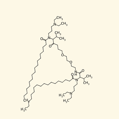 CCCCCCCCCCCCCCCCCC(=O)N(CCCN(CC)CC)C(C(=O)CCCOCCOCCNC(=O)C(C(C)C)N(CCCN(CC)CC)C(=O)CCCCCCCCCCCCCCCCC)C(C)C